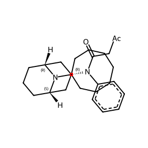 CC(=O)CC(=O)N(c1ccccc1)[C@H]1C[C@H]2CCC[C@@H](C1)N2C1CCCCCCC1